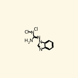 N/C(=N\n1cnc2ccccc21)N(Cl)Cl